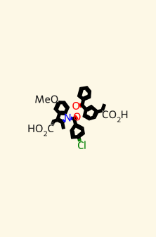 CC(C(=O)O)c1cccc(C(=O)c2ccccc2)c1.COc1ccc2c(c1)c(CC(=O)O)c(C)n2C(=O)c1ccc(Cl)cc1